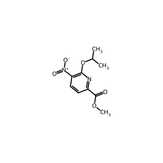 COC(=O)c1ccc([N+](=O)[O-])c(OC(C)C)n1